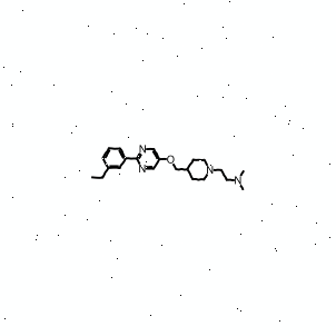 CCc1cccc(-c2ncc(OCC3CCN(CCN(C)C)CC3)cn2)c1